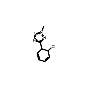 Cn1nnc(C2C=CC=CC2Cl)n1